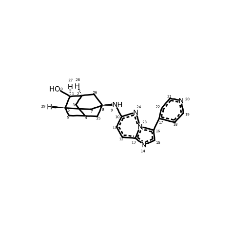 O[C@H]1[C@@H]2CC3C[C@H]1C[C@@](Nc1ccc4ncc(-c5ccncc5)n4n1)(C3)C2